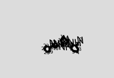 N#Cc1ccccc1Nc1nccc(Nc2cc(C3CCCC3)n[nH]2)n1